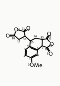 COc1ccc2c(c1)C1C(=O)OC(=O)C1CC2C1CC(=O)OC1=O